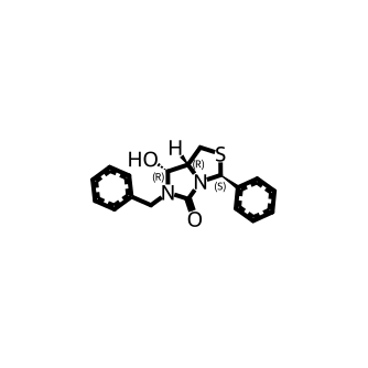 O=C1N(Cc2ccccc2)[C@H](O)[C@@H]2CS[C@@H](c3ccccc3)N12